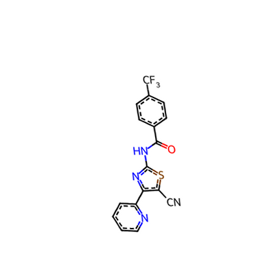 N#Cc1sc(NC(=O)c2ccc(C(F)(F)F)cc2)nc1-c1ccccn1